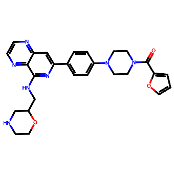 O=C(c1ccco1)N1CCN(c2ccc(-c3cc4nccnc4c(NCC4CNCCO4)n3)cc2)CC1